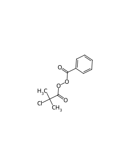 CC(C)(Cl)C(=O)OOC(=O)c1ccccc1